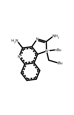 CCCC[N+]1(CC(C)CC)C(N)=Nc2c(N)nc3ccccc3c21